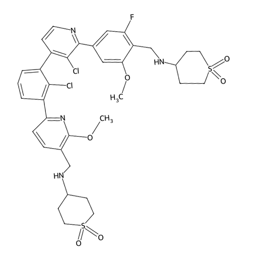 COc1cc(-c2nccc(-c3cccc(-c4ccc(CNC5CCS(=O)(=O)CC5)c(OC)n4)c3Cl)c2Cl)cc(F)c1CNC1CCS(=O)(=O)CC1